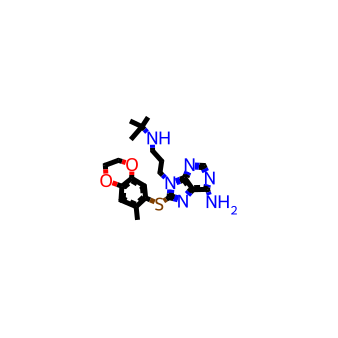 Cc1cc2c(cc1Sc1nc3c(N)ncnc3n1CCCNC(C)(C)C)OCCO2